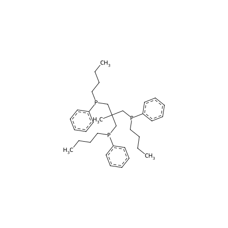 CCCCP(CC(C)(CP(CCCC)c1ccccc1)CP(CCCC)c1ccccc1)c1ccccc1